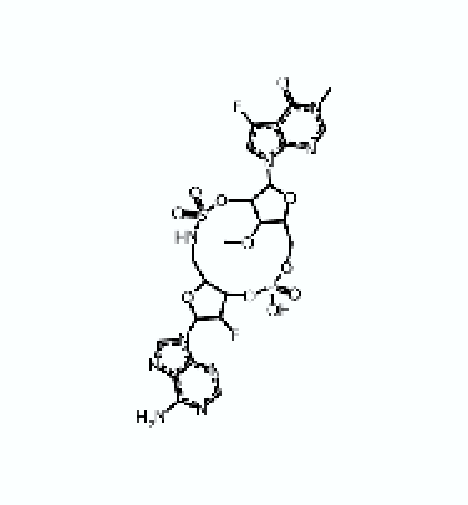 COC1C2COP(=O)(O)OC3C(CNS(=O)(=O)OC1C(n1cc(F)c4c(=O)n(C)cnc41)O2)OC(n1cnc2c(N)ncnc21)C3F